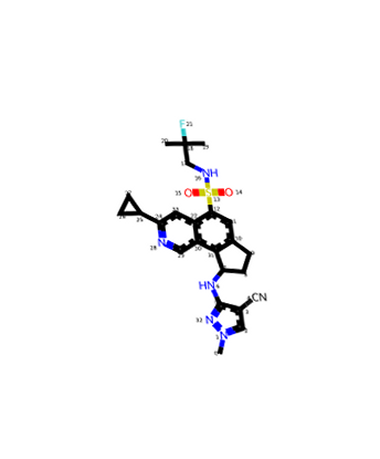 Cn1cc(C#N)c(NC2CCc3cc(S(=O)(=O)NCC(C)(C)F)c4cc(C5CC5)ncc4c32)n1